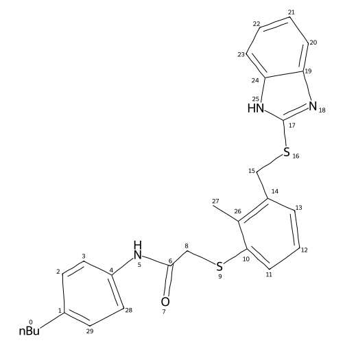 CCCCc1ccc(NC(=O)CSc2cccc(CSc3nc4ccccc4[nH]3)c2C)cc1